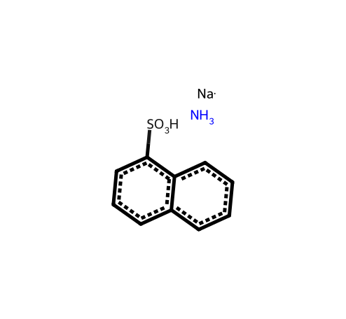 N.O=S(=O)(O)c1cccc2ccccc12.[Na]